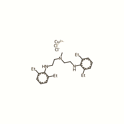 CCc1cccc(CC)c1NCCN(C)CCNc1c(CC)cccc1CC.[Cl-].[Cl-].[Cu+2]